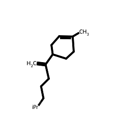 C=C(CCCC(C)C)C1CC=C(C)CC1